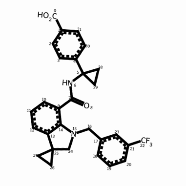 O=C(O)c1ccc(C2(NC(=O)c3cccc4c3N(Cc3cccc(C(F)(F)F)c3)CC43CC3)CC2)cc1